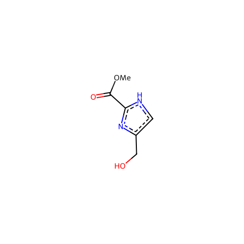 COC(=O)c1nc(CO)c[nH]1